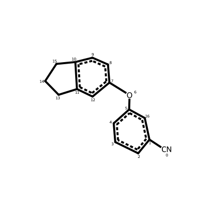 N#Cc1cccc(Oc2ccc3c(c2)CCC3)c1